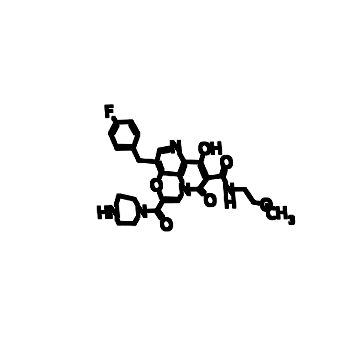 COCCNC(=O)c1c(O)c2ncc(Cc3ccc(F)cc3)c3c2n(c1=O)C=C(C(=O)N1CCNCC1)O3